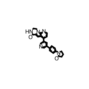 O=C1NCCn2c1cc1c(-c3cncc(-c4ccc(N5CCCC5=O)cc4)c3)ccnc12